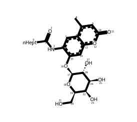 CCCCCCCC(=O)Nc1cc2c(C)cc(=O)oc2cc1O[C@@H]1O[C@H](CO)[C@H](O)[C@H](O)[C@H]1O